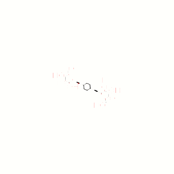 OCC1OC(C#Cc2ccc(C#C[C@H]3OC(CO)[C@@H](O)[C@H](O)C3O)cc2)C(O)C(O)[C@@H]1O